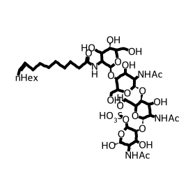 CCCCCC/C=C\CCCCCCCC(=O)NC1C(O)[C@H](O)C(CO)O[C@H]1O[C@@H]1C(CO)O[C@@H](O[C@@H]2C(CO)O[C@@H](O[C@@H]3C(OS(=O)(=O)O)O[C@@H](O)C(NC(C)=O)C3O)C(NC(C)=O)C2O)C(NC(C)=O)C1O